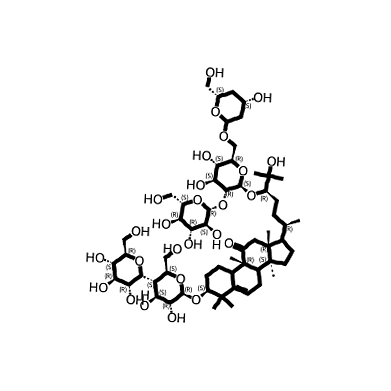 C[C@H](CC[C@@H](O[C@@H]1O[C@H](COC2C[C@@H](O)C[C@@H](CO)O2)[C@@H](O)[C@H](O)[C@H]1O[C@H]1O[C@@H](CO)[C@H](O)[C@@H](O)[C@@H]1O)C(C)(C)O)C1CC[C@@]2(C)C3CC=C4C(CC[C@H](O[C@@H]5O[C@H](CO)[C@@H](C6O[C@H](CO)[C@@H](O)[C@H](O)[C@H]6O)[C@H](O)[C@H]5O)C4(C)C)[C@]3(C)C(=O)C[C@]12C